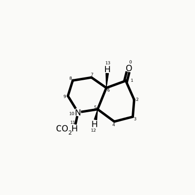 O=C1CCC[C@H]2[C@@H]1CCCN2C(=O)O